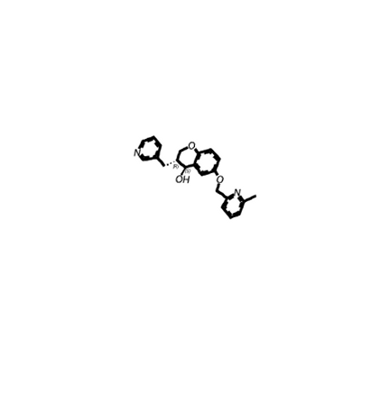 Cc1cccc(COc2ccc3c(c2)[C@@H](O)[C@H](Cc2cccnc2)CO3)n1